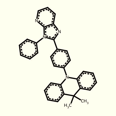 CC1(C)c2ccccc2N(c2ccc(-c3nc4cccnc4n3-c3ccccc3)cc2)c2ccccc21